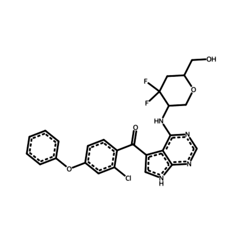 O=C(c1ccc(Oc2ccccc2)cc1Cl)c1c[nH]c2ncnc(NC3COC(CO)CC3(F)F)c12